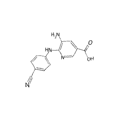 N#Cc1ccc(Nc2ncc(C(=O)O)cc2N)cc1